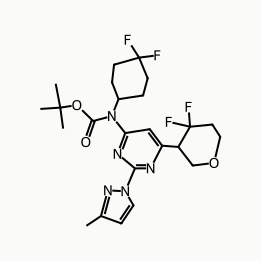 Cc1ccn(-c2nc(C3COCCC3(F)F)cc(N(C(=O)OC(C)(C)C)C3CCC(F)(F)CC3)n2)n1